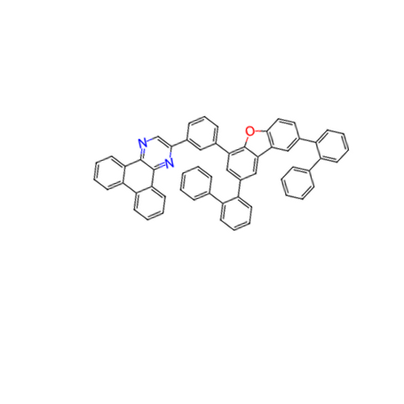 c1ccc(-c2ccccc2-c2ccc3oc4c(-c5cccc(-c6cnc7c8ccccc8c8ccccc8c7n6)c5)cc(-c5ccccc5-c5ccccc5)cc4c3c2)cc1